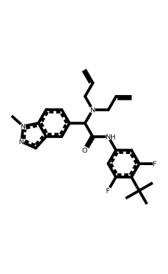 C=CCN(CC=C)C(C(=O)Nc1cc(F)c(C(C)(C)C)c(F)c1)c1ccc2c(cnn2C)c1